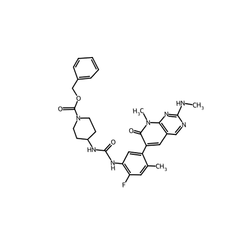 CNc1ncc2cc(-c3cc(NC(=O)NC4CCN(C(=O)OCc5ccccc5)CC4)c(F)cc3C)c(=O)n(C)c2n1